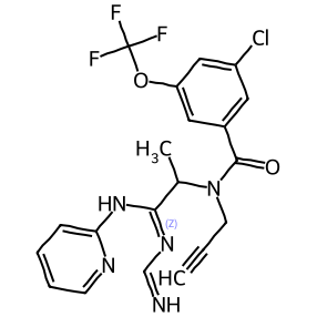 C#CCN(C(=O)c1cc(Cl)cc(OC(F)(F)F)c1)C(C)/C(=N/C=N)Nc1ccccn1